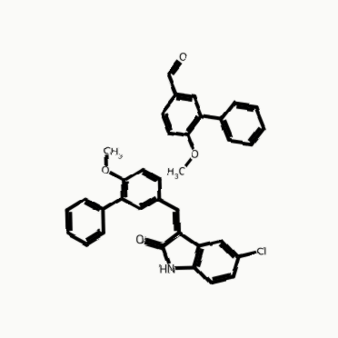 COc1ccc(C=C2C(=O)Nc3ccc(Cl)cc32)cc1-c1ccccc1.COc1ccc(C=O)cc1-c1ccccc1